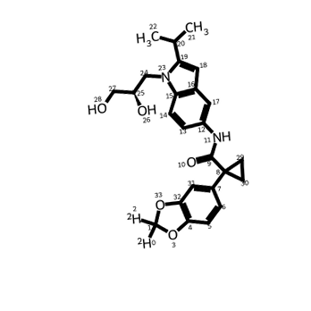 [2H]C1([2H])Oc2ccc(C3(C(=O)Nc4ccc5c(c4)cc(C(C)C)n5C[C@@H](O)CO)CC3)cc2O1